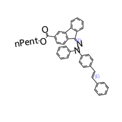 CCCCCOC(=O)c1ccc2c(c1)-c1ccccc1/C2=N/N(c1ccccc1)c1ccc(/C=C/c2ccccc2)cc1